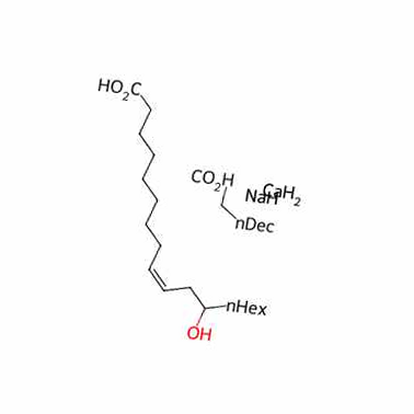 CCCCCCC(O)C/C=C\CCCCCCCC(=O)O.CCCCCCCCCCCC(=O)O.[CaH2].[NaH]